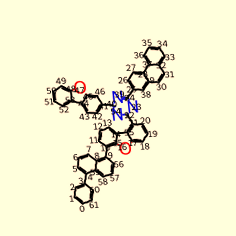 c1ccc(-c2cccc3c(-c4cccc5c4oc4cccc(-c6nc(-c7ccc8c(ccc9ccccc98)c7)nc(-c7ccc8c(c7)oc7ccccc78)n6)c45)cccc23)cc1